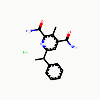 Cc1c(C(N)=O)cc(C(C)c2ccccc2)nc1C(N)=O.Cl